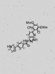 COc1cc(OC)c(Cl)c(-c2ccc3c(NC(=O)c4ccc(C5CNCCO5)cc4)n[nH]c3n2)c1Cl